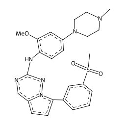 COc1cc(N2CCN(C)CC2)ccc1Nc1ncc2ccc(-c3cccc(S(C)(=O)=O)c3)n2n1